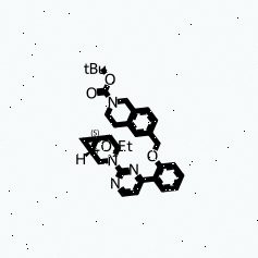 CCOC(=O)[C@@]12CCN(c3nccc(-c4ccccc4OCc4ccc5c(c4)CCN(C(=O)OC(C)(C)C)C5)n3)C[C@@H]1C2